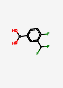 OB(O)c1ccc(F)c(C(F)F)c1